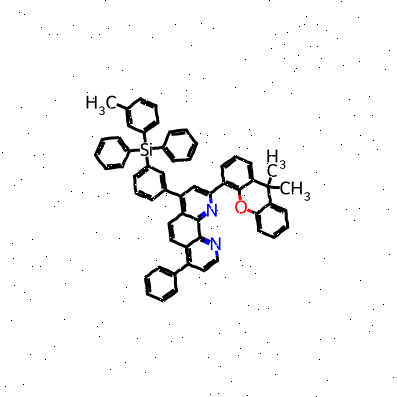 Cc1cccc([Si](c2ccccc2)(c2ccccc2)c2cccc(-c3cc(-c4cccc5c4Oc4ccccc4C5(C)C)nc4c3ccc3c(-c5ccccc5)ccnc34)c2)c1